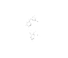 CCc1nc(C)nc(NCCc2ccc(Oc3nc(Cl)cc(Cl)n3)cc2)c1Cl